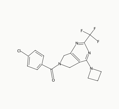 O=C(c1ccc(Cl)cc1)N1Cc2nc(C(F)(F)F)nc(N3CCC3)c2C1